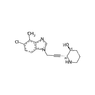 Cc1c(Cl)ccc2c1ncn2CC#C[C@H]1NCCC[C@@H]1O